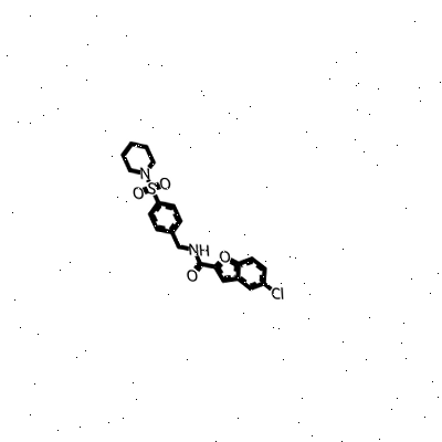 O=C(NCc1ccc(S(=O)(=O)N2CCCCC2)cc1)c1cc2cc(Cl)ccc2o1